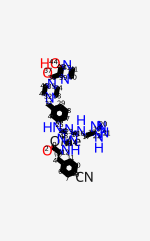 COC(=O)[C@H](Cc1ccc(C#N)cc1)Nc1nc(NCc2nnn[nH]2)nc(Nc2cccc(CN3CCN(C(=O)c4nccnc4O)CC3)c2)n1